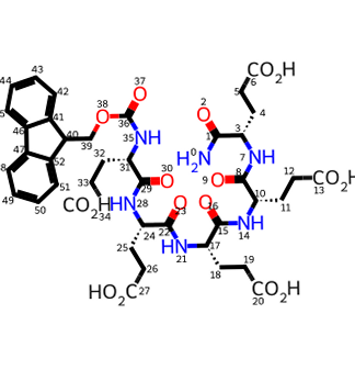 NC(=O)[C@H](CCC(=O)O)NC(=O)[C@H](CCC(=O)O)NC(=O)[C@H](CCC(=O)O)NC(=O)[C@H](CCC(=O)O)NC(=O)[C@H](CCC(=O)O)NC(=O)OCC1c2ccccc2-c2ccccc21